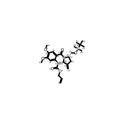 C=CCOC(=O)Nc1cc(OC)c(OC)cc1C(=O)N1CC(=C)C[C@H]1CO[Si](C)(C)C(C)(C)C